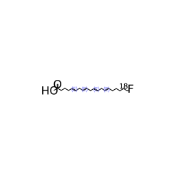 O=C(O)CCC/C=C/C/C=C/C/C=C/C/C=C/CCCCC[18F]